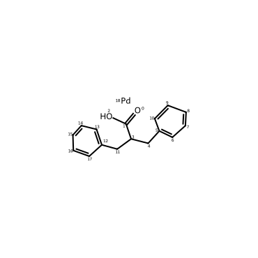 O=C(O)C(Cc1ccccc1)Cc1ccccc1.[Pd]